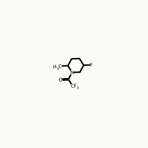 CC1CCC(F)CN1C(=O)C(F)(F)F